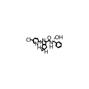 O=C(N[C@H](CO)c1ccccc1)c1nn(-c2ccc(Cl)cn2)c2c1C[C@H]1C[C@@H]21